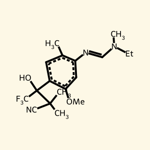 CCN(C)/C=N/c1cc(OC)c(C(O)(C(F)(F)F)C(C)(C)C#N)cc1C